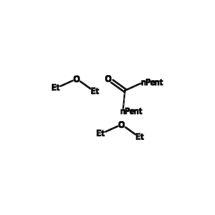 CCCCCC(=O)CCCCC.CCOCC.CCOCC